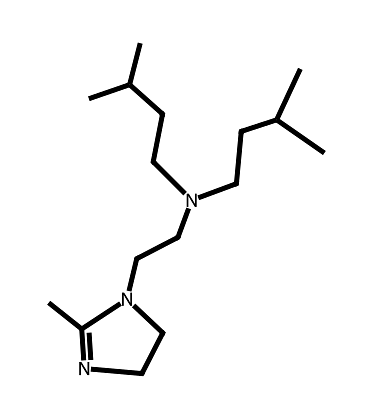 CC1=NCCN1CCN(CCC(C)C)CCC(C)C